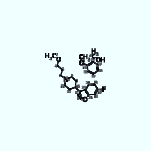 CO.COCCCN1CCC(c2noc3cc(F)ccc23)CC1.COc1ccccc1